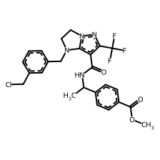 COC(=O)c1ccc(C(C)NC(=O)c2c(C(F)(F)F)nn3c2N(Cc2cccc(CCl)c2)CC3)cc1